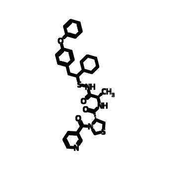 C[C@@H](NC(=O)[C@@H]1CSCN1C(=O)c1cccnc1)C(=O)NSC(Cc1ccc(Oc2ccccc2)cc1)C1CCCCC1